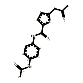 CC(=O)Cc1ccc(C(=O)Nc2ccc(NC(C)=O)cc2)o1